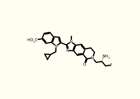 Cn1c(-c2cc3ccc(C(=O)O)cc3n2CC2CC2)nc2cc3c(cc21)CCN(C[C@H](N)CF)C3=O